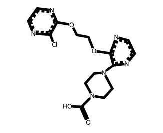 O=C(O)N1CCN(c2nccnc2OCCOc2nccnc2Cl)CC1